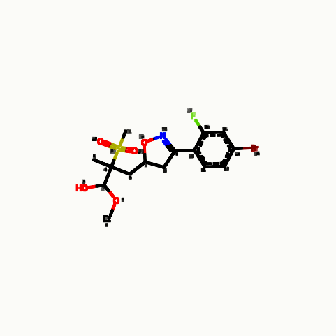 CCOC(O)C(C)(CC1CC(c2ccc(Br)cc2F)=NO1)S(C)(=O)=O